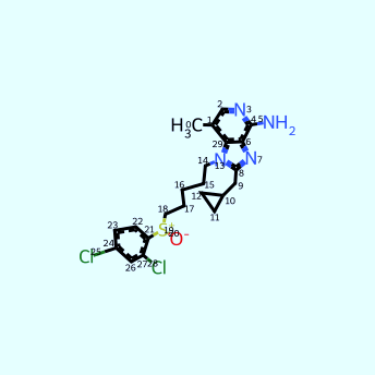 Cc1cnc(N)c2nc(CC3CC3)n(CCCCC[S+]([O-])c3ccc(Cl)cc3Cl)c12